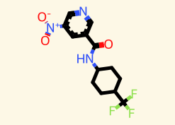 O=C(NC1CCC(C(F)(F)F)CC1)c1cncc([N+](=O)[O-])c1